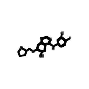 Oc1cc2c(Nc3ccc(F)c(Cl)c3)ncnc2cc1OC[C@H]1CCCO1